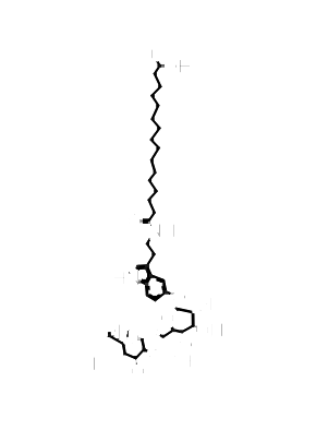 CCC(O)CCCCCCCCCCCCCCC(=O)NCCc1c[nH]c2ccc(O[C@H]3OC(CO[C@H]4OC(CO)[C@@H](O)[C@H](O)C4O)[C@@H](O)[C@H](O)C3O)cc12